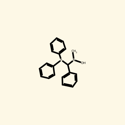 CN(O)C(c1ccccc1)P(c1ccccc1)c1ccccc1